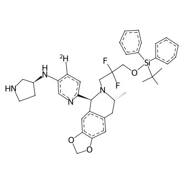 [2H]c1cc([C@@H]2c3cc4c(cc3C[C@@H](C)N2CC(F)(F)CO[Si](c2ccccc2)(c2ccccc2)C(C)(C)C)OCO4)ncc1N[C@H]1CCNC1